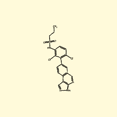 CCCS(=O)(=O)Nc1ccc(Cl)c(-c2ccc3c(cnc4[nH]ncc43)c2)c1Cl